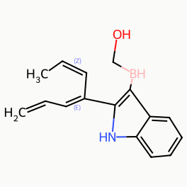 C=C/C=C(\C=C/C)c1[nH]c2ccccc2c1BCO